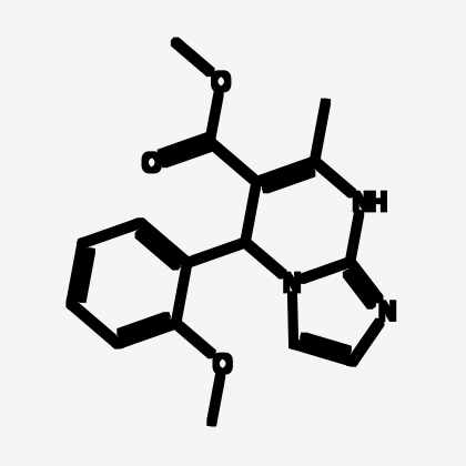 COC(=O)C1=C(C)Nc2nccn2C1c1ccccc1OC